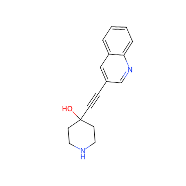 OC1(C#Cc2cnc3ccccc3c2)CCNCC1